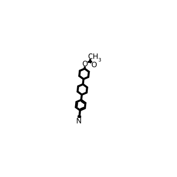 CC(=O)OC1CCC(C2CCC(c3ccc(C#N)cc3)CC2)CC1